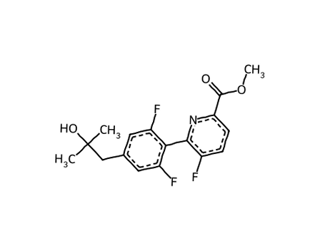 COC(=O)c1ccc(F)c(-c2c(F)cc(CC(C)(C)O)cc2F)n1